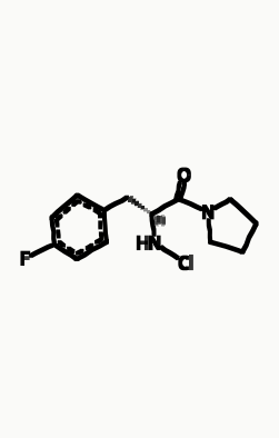 O=C([C@@H](Cc1ccc(F)cc1)NCl)N1CCCC1